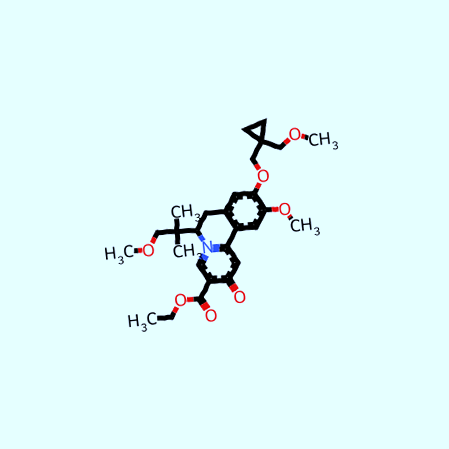 CCOC(=O)c1cn2c(cc1=O)-c1cc(OC)c(OCC3(COC)CC3)cc1CC2C(C)(C)COC